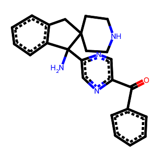 NC1(c2cnc(C(=O)c3ccccc3)cn2)c2ccccc2CC12CCNCC2